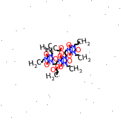 C=CCCn1c(=O)n(CC=C)c(=O)n(CC(Cn2c(=O)n(CC=C)c(=O)n(CC(Cn3c(=O)n(CC=C)c(=O)n(CC=C)c3=O)OC(=O)C=C)c2=O)OC(=O)C=C)c1=O